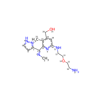 C/N=C(/c1cc[nH]n1)c1nc(NCCOCCN)cc(CO)c1C